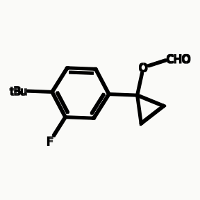 CC(C)(C)c1ccc(C2(OC=O)CC2)cc1F